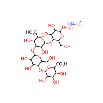 O=C(O)C1OC(OC2C(CO)OC(OC3C(O)C(OC4C(CO)OC(OBNBI)C(O)C4O)OC(C(=O)O)C3O)C(O)C2O)C(O)C(O)C1O